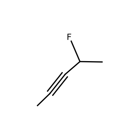 CC#CC(C)F